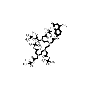 Cc1cc(=O)[nH]c2cc(NC(=O)CN(CCN(CCN(CC(=O)OC(C)(C)C)CC(=O)OC(C)(C)C)CC(=O)OC(C)(C)C)CCN(CC(=O)OC(C)(C)C)CC(=O)OC(C)(C)C)ccc12